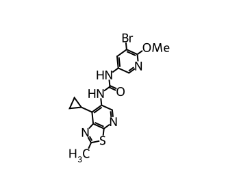 COc1ncc(NC(=O)Nc2cnc3sc(C)nc3c2C2CC2)cc1Br